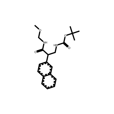 COCNC(=O)C(CNC(=O)OC(C)(C)C)c1ccc2ccccc2c1